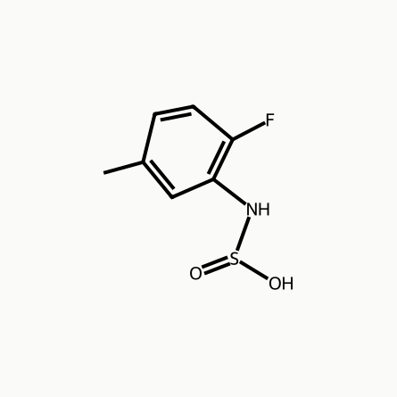 Cc1ccc(F)c(NS(=O)O)c1